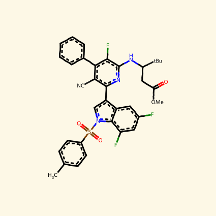 COC(=O)CC(Nc1nc(-c2cn(S(=O)(=O)c3ccc(C)cc3)c3c(F)cc(F)cc23)c(C#N)c(-c2ccccc2)c1F)C(C)(C)C